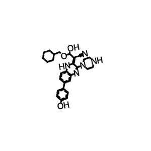 N#C/C(=C1/Nc2ccc(-c3ccc(O)cc3)cc2N=C1N1CCNCC1)C(O)OCC1CCCCC1